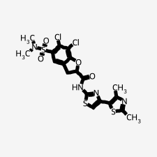 Cc1nc(C)c(-c2csc(NC(=O)C3Cc4cc(S(=O)(=O)N(C)C)c(Cl)c(Cl)c4O3)n2)s1